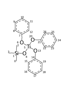 C[Si](C)(C)[O][Ti]([O]c1ccccc1)([O]c1ccccc1)[O]c1ccccc1